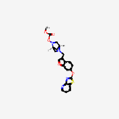 CC(C)(C)OC(=O)ON1C[C@@H]2C[C@H]1CN2Cc1coc2cc(Oc3nc4ncccc4s3)ccc12